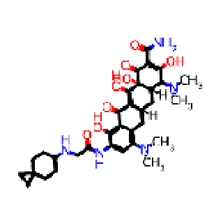 CN(C)c1cc(NC(=O)CNC2CCC3(CC2)CC3)c(O)c2c1C[C@H]1C[C@H]3C(N(C)C)C(O)=C(C(N)=O)C(=O)[C@@]3(O)C(O)=C1C2=O